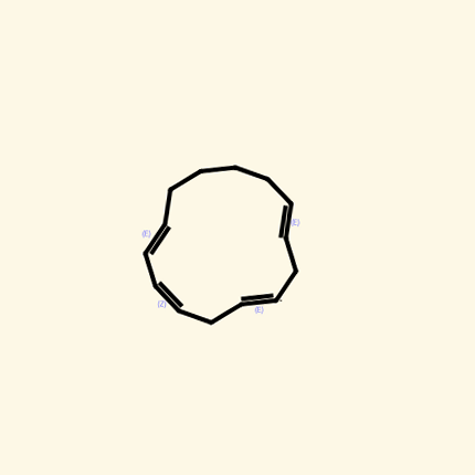 [C]1=C/C/C=C\C=C\CCCC/C=C/C/1